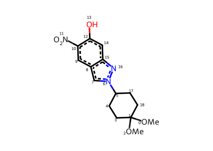 COC1(OC)CCC(n2cc3cc([N+](=O)[O-])c(O)cc3n2)CC1